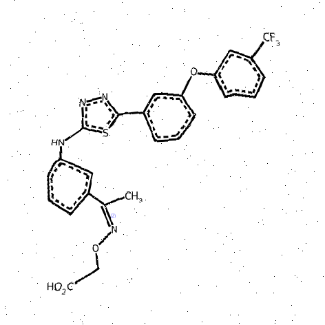 C/C(=N/OCC(=O)O)c1cccc(Nc2nnc(-c3cccc(Oc4cccc(C(F)(F)F)c4)c3)s2)c1